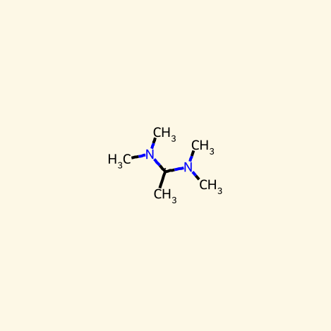 C[C](N(C)C)N(C)C